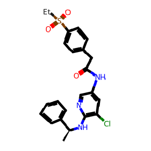 CCS(=O)(=O)c1ccc(CC(=O)Nc2cnc(N[C@@H](C)c3ccccc3)c(Cl)c2)cc1